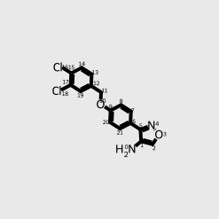 Nc1conc1-c1ccc(OCc2ccc(Cl)c(Cl)c2)cc1